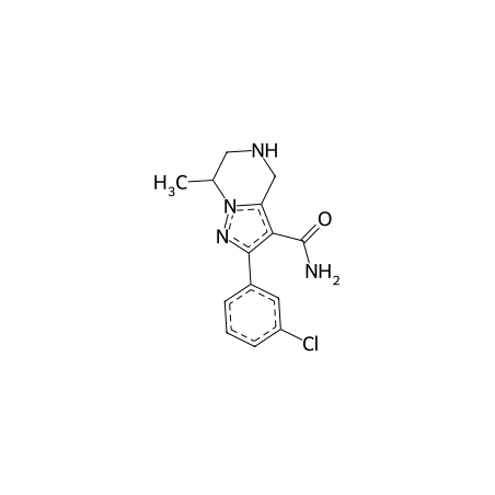 CC1CNCc2c(C(N)=O)c(-c3cccc(Cl)c3)nn21